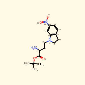 CC(C)(C)OC(=O)C(N)CCN1CCc2ccc([N+](=O)[O-])cc21